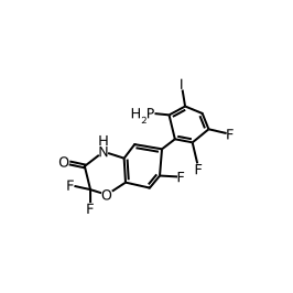 O=C1Nc2cc(-c3c(F)c(F)cc(I)c3P)c(F)cc2OC1(F)F